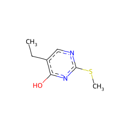 CCc1cnc(SC)nc1O